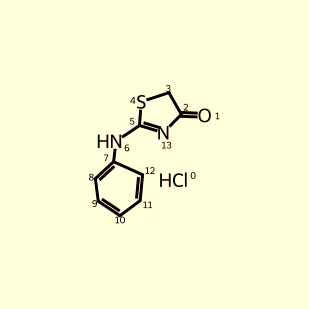 Cl.O=C1CSC(Nc2ccccc2)=N1